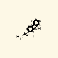 CC[SiH2]c1ccc2c(c1)[nH]c1ccccc12